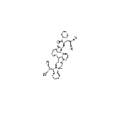 N#CC(C#N)=C1/C(=C/c2sc3cccc4c5c(/C=C6\C(=O)c7ccccc7C6=C(C#N)C#N)sc6cccc(c2c34)c65)C(=O)c2ccccc21